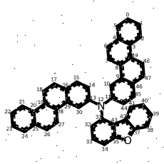 c1ccc2c(c1)ccc1c3cc(N(c4ccc5ccc6c7ccccc7ccc6c5c4)c4cccc5oc6ccccc6c45)ccc3ccc21